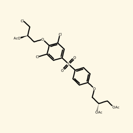 CC(=O)OC[C@@H](COc1ccc(S(=O)(=O)c2cc(Cl)c(OC[C@H](CCl)OC(C)=O)c(Cl)c2)cc1)OC(C)=O